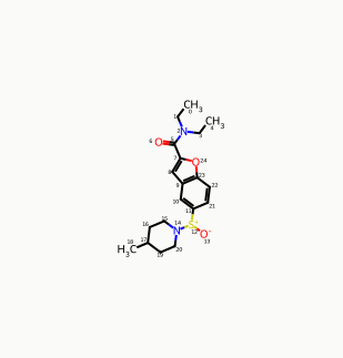 CCN(CC)C(=O)c1cc2cc([S+]([O-])N3CCC(C)CC3)ccc2o1